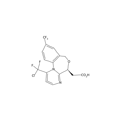 O=C(O)C[C@@H]1OCc2cc(C(F)(F)F)ccc2N2C(C(F)(F)Cl)=C=CN=C12